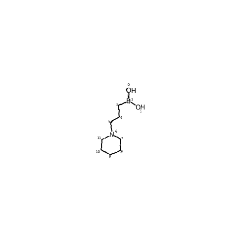 OB(O)CCCN1CCCCC1